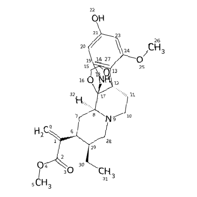 C=C(C(=O)OC)[C@H]1C[C@@H]2N(CC[C@@]34OCCO[C@@]23Nc2cc(O)cc(OC)c24)C[C@H]1CC